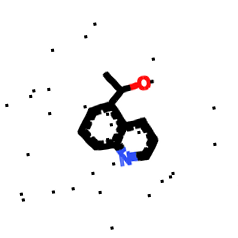 CC([O])c1cccc2ncccc12